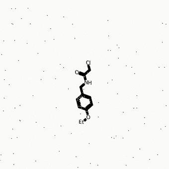 CCOc1ccc(CNC(=O)CCl)cc1